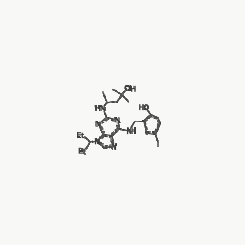 CCC(CC)n1cnc2c(NCc3cc(I)ccc3O)nc(NC(C)CC(C)(C)O)nc21